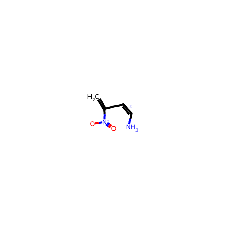 C=C(/C=C\N)[N+](=O)[O-]